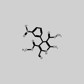 COC(=O)C1=C(C)NC(C=O)=C(C(=O)OC)C1c1cccc([N+](=O)[O-])c1